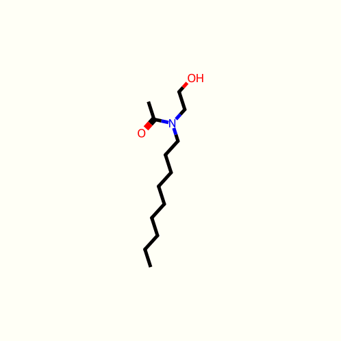 CCCCCCCCCN(CCO)C(C)=O